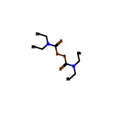 CC(C)CN(CC(C)C)C(=S)SSC(=S)N(CC(C)C)CC(C)C